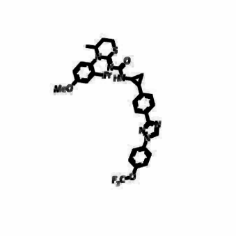 COc1ccc(N2/C(=N/C(=O)NC3CC3c3ccc(-c4ncn(-c5ccc(OC(F)(F)F)cc5)n4)cc3)SCCC2C)c(C(C)C)c1